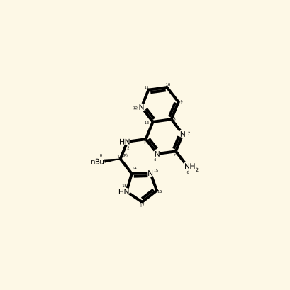 CCCC[C@@H](Nc1nc(N)nc2cccnc12)c1ncc[nH]1